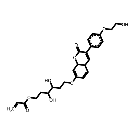 C=CC(=O)OCCC(O)C(O)CCOC1=CC2OC(=O)C(c3ccc(OCCO)cc3)=CC2C=C1